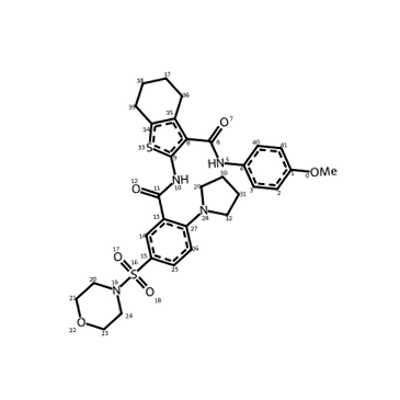 COc1ccc(NC(=O)c2c(NC(=O)c3cc(S(=O)(=O)N4CCOCC4)ccc3N3CCCC3)sc3c2CCCC3)cc1